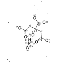 O=C([O-])CC(O)(CC(=O)[O-])C(=O)[O-].[NH4+].[W+2]